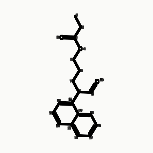 CCC(=O)OCCCC([C]=O)c1cccc2ccccc12